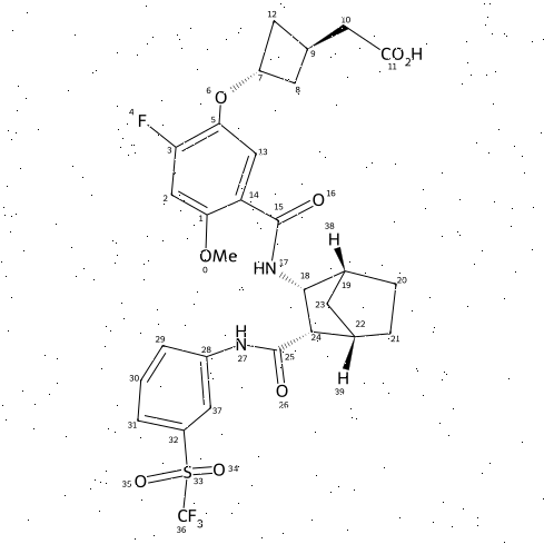 COc1cc(F)c(O[C@H]2C[C@H](CC(=O)O)C2)cc1C(=O)N[C@@H]1[C@@H]2CC[C@@H](C2)[C@@H]1C(=O)Nc1cccc(S(=O)(=O)C(F)(F)F)c1